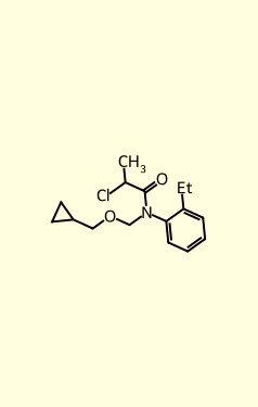 CCc1ccccc1N(COCC1CC1)C(=O)C(C)Cl